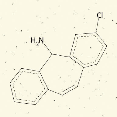 NC1c2ccccc2C=Cc2ccc(Cl)cc21